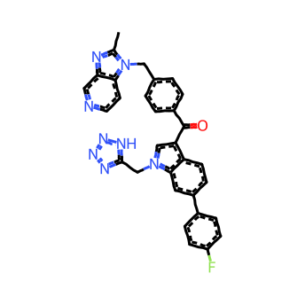 Cc1nc2cnccc2n1Cc1ccc(C(=O)c2cn(Cc3nnn[nH]3)c3cc(-c4ccc(F)cc4)ccc23)cc1